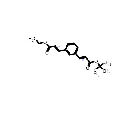 CCOC(=O)/C=C/c1cccc(/C=C/C(=O)OC(C)(C)C)c1